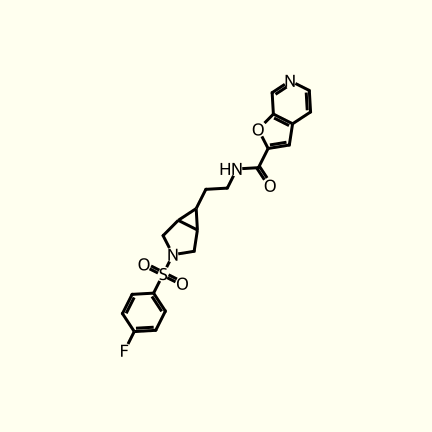 O=C(NCCC1C2CN(S(=O)(=O)c3ccc(F)cc3)CC12)c1cc2ccncc2o1